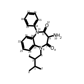 CC(C)C(C)CN1C(=O)C(N)C(=O)N(c2ccccc2)c2ccccc21